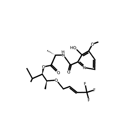 COc1ccnc(C(=O)N[C@@H](C)C(=O)O[C@H](C(C)C)[C@H](C)OC/C=C/C(F)(F)F)c1O